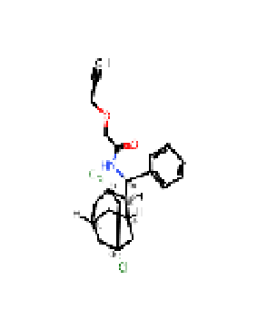 C#CCOCC(=O)N[C@@H](c1ccccc1)[C@H]1[C@H]2C[C@@H]3C[C@](Cl)(C2)C[C@@]1(Cl)C3